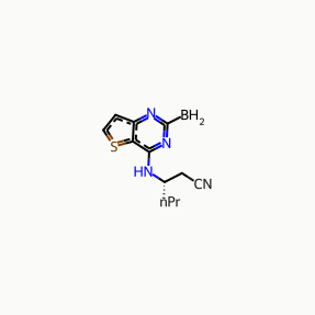 Bc1nc(N[C@H](CC#N)CCC)c2sccc2n1